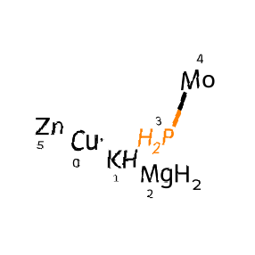 [Cu].[KH].[MgH2].[PH2][Mo].[Zn]